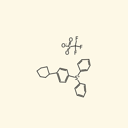 O=S(=O)([O-])C(F)(F)F.c1ccc([S+](c2ccccc2)c2ccc(C3CCCCC3)cc2)cc1